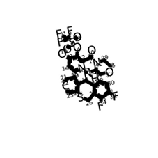 O=C1c2c(OS(=O)(=O)C(F)(F)F)c(=O)ccn2N([C@@H]2c3ccccc3SCc3c2ccc(F)c3F)[C@@H]2COCCN12